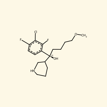 COCCCC[C@@](O)(c1ccc(F)c(Cl)c1F)C1CCCNC1